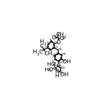 CC(C)(C)c1ccc(OS(C)(=O)=O)c(Cc2ccc(N3CC(O)NS3(O)O)c(O)c2)c1